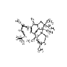 C=Cc1ccc(F)c2c1C(O)(C1CCN(C)CC1)C(C)(C)C2.O=C(O)C=CC(=O)O